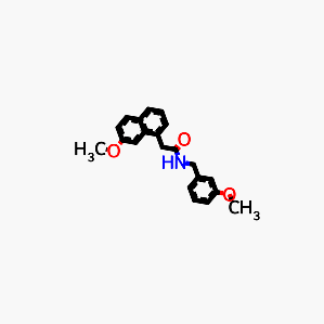 COc1cccc(CNC(=O)Cc2cccc3ccc(OC)cc23)c1